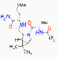 CSCC[C@H](NCC1[C@@H]2C(=CN1C(=O)[C@@H](NC(=O)C(F)(F)F)C(C)(C)C)C2(C)C)C(N)=O